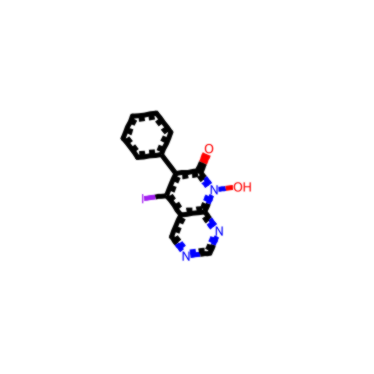 O=c1c(-c2ccccc2)c(I)c2cncnc2n1O